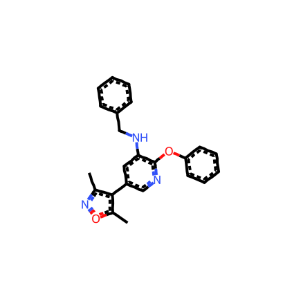 Cc1noc(C)c1-c1cnc(Oc2ccccc2)c(NCc2ccccc2)c1